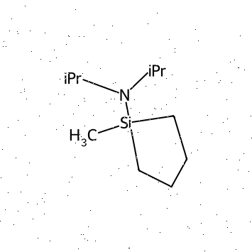 CC(C)N(C(C)C)[Si]1(C)CCCC1